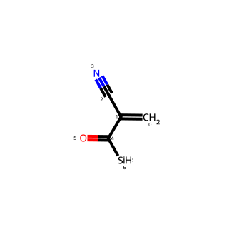 C=C(C#N)C(=O)[SiH]